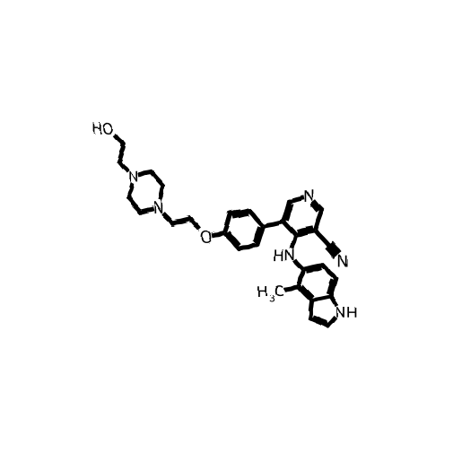 Cc1c(Nc2c(C#N)cncc2-c2ccc(OCCN3CCN(CCO)CC3)cc2)ccc2[nH]ccc12